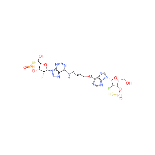 O=[PH](S)O[C@H]1[C@@H](F)[C@H](n2cnc3c(NC/C=C/COc4ncnc5c4ncn5[C@@H]4O[C@H](CO)[C@@H](O[PH](=O)S)[C@H]4F)ncnc32)O[C@@H]1CO